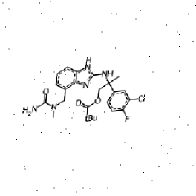 CN(Cc1cccc2[nH]c(NC(C)(COC(=O)C(C)(C)C)c3ccc(F)c(Cl)c3)nc12)C(N)=O